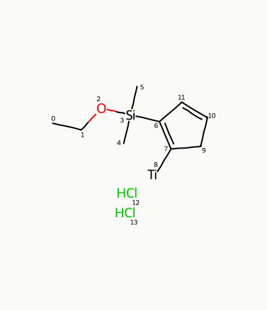 CCO[Si](C)(C)C1=[C]([Ti])CC=C1.Cl.Cl